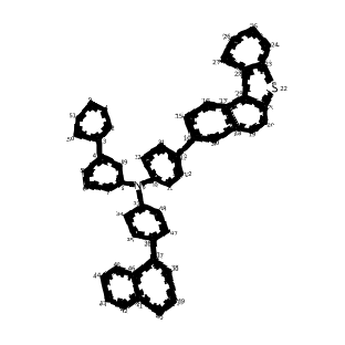 c1ccc(-c2cccc(N(c3ccc(-c4ccc5c(ccc6sc7ccccc7c65)c4)cc3)c3ccc(-c4cccc5ccccc45)cc3)c2)cc1